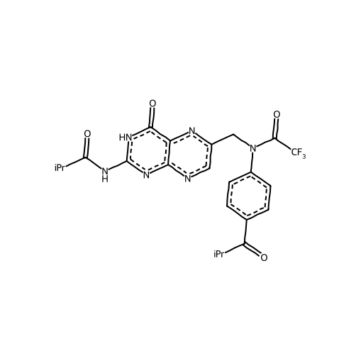 CC(C)C(=O)Nc1nc2ncc(CN(C(=O)C(F)(F)F)c3ccc(C(=O)C(C)C)cc3)nc2c(=O)[nH]1